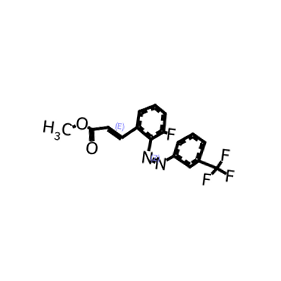 COC(=O)/C=C/c1cccc(F)c1/N=N\c1cccc(C(F)(F)F)c1